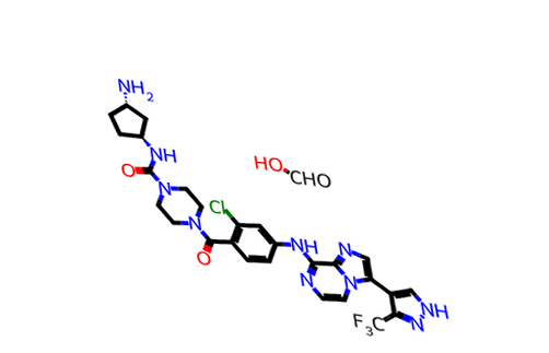 N[C@H]1CC[C@H](NC(=O)N2CCN(C(=O)c3ccc(Nc4nccn5c(-c6c[nH]nc6C(F)(F)F)cnc45)cc3Cl)CC2)C1.O=CO